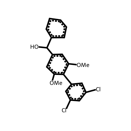 COc1cc(C(O)c2ccccc2)cc(OC)c1-c1cc(Cl)cc(Cl)c1